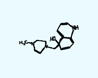 CN1CCN(CC2(O)C=CC=C3NC=CC=C32)CC1